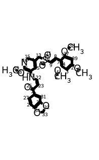 COc1cc(OC)c(/C=C/S(=O)(=O)Cc2cnc(OC)c(N/C=C\C(=O)c3ccc4c(c3)OCO4)c2)c(OC)c1